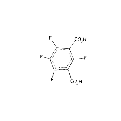 O=C(O)c1c(F)c(F)c(F)c(C(=O)O)c1F